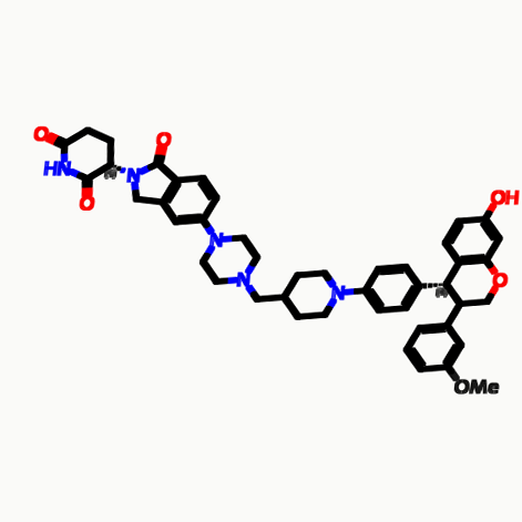 COc1cccc(C2COc3cc(O)ccc3[C@H]2c2ccc(N3CCC(CN4CCN(c5ccc6c(c5)CN([C@H]5CCC(=O)NC5=O)C6=O)CC4)CC3)cc2)c1